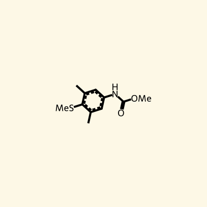 COC(=O)Nc1cc(C)c(SC)c(C)c1